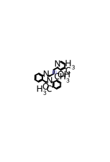 Cc1ccnc(/C=C/c2nc3ccccc3c(=O)n2-c2c(C)cccc2C)c1O